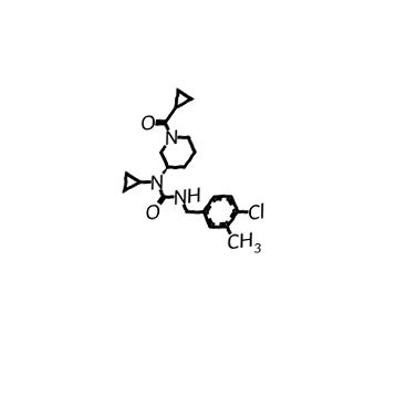 Cc1cc(CNC(=O)N(C2CC2)[C@@H]2CCCN(C(=O)C3CC3)C2)ccc1Cl